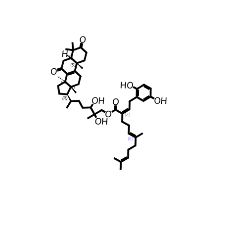 CC(C)=CCC/C(C)=C/CC/C(=C/Cc1cc(O)ccc1O)C(=O)OCC(C)(O)C(O)CCC(C)[C@H]1CC[C@@]2(C)C3=C(CC[C@]12C)[C@@]1(C)CCC(=O)C(C)(C)[C@@H]1CC3=O